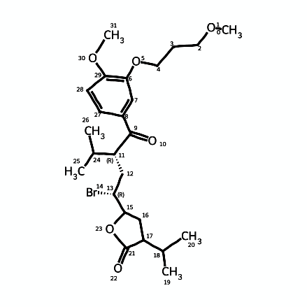 COCCCOc1cc(C(=O)[C@H](C[C@@H](Br)C2CC(C(C)C)C(=O)O2)C(C)C)ccc1OC